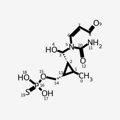 CC1[C@@H](C(O)N(/C=C\C=O)C(N)=O)[C@H]1COP(O)(O)=S